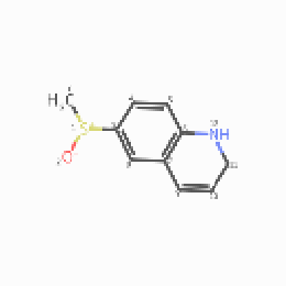 C[S+]([O-])c1ccc2c(c1)C=CCN2